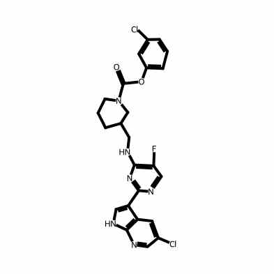 O=C(Oc1cccc(Cl)c1)N1CCCC(CNc2nc(-c3c[nH]c4ncc(Cl)cc34)ncc2F)C1